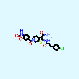 NC(=O)c1c(NC(=O)CCc2ccc(Cl)cc2)sc2c1CCN(C(=O)c1ccc3[nH]c(=O)oc3c1)C2